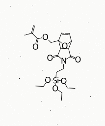 C=C(C)C(=O)OCC12C=CC(O1)C1C(=O)N(CC[Si](OCC)(OCC)OCC)C(=O)C12